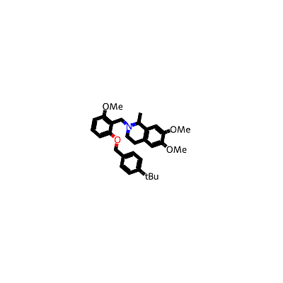 COc1cc2c(cc1OC)C(C)N(Cc1c(OC)cccc1OCc1ccc(C(C)(C)C)cc1)CC2